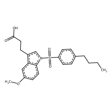 CCCCc1ccc(S(=O)(=O)n2cc(CCC(=O)O)c3cc(OC)ccc32)cc1